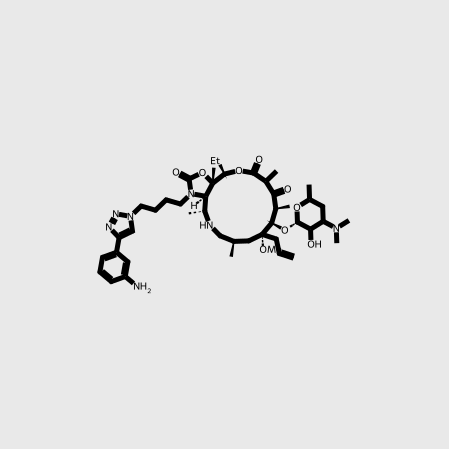 C=CC[C@@]1(OC)C[C@@H](C)CN[C@H](C)[C@H]2N(CCCCn3cc(-c4cccc(N)c4)nn3)C(=O)O[C@]2(C)[C@@H](CC)OC(=O)C(C)C(=O)[C@@H](C)[C@H]1O[C@@H]1OC(C)CC(N(C)C)C1O